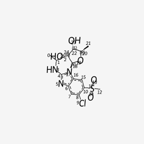 CC(C)Nc1nc2cc(Cl)c(S(C)(=O)=O)cc2n1[C@@H]1O[C@H](C)[C@@H](O)[C@H]1O